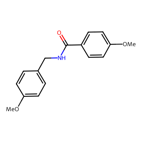 COc1ccc(CNC(=O)c2ccc(OC)cc2)cc1